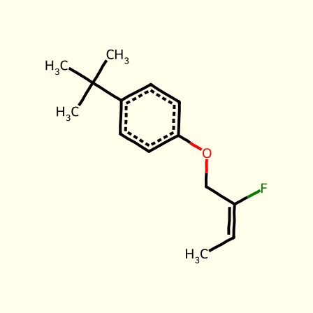 C/C=C(/F)COc1ccc(C(C)(C)C)cc1